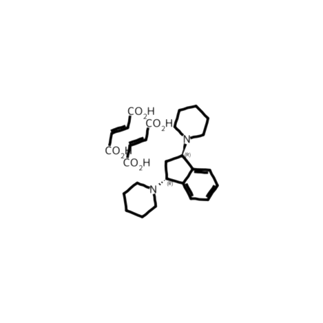 O=C(O)C=CC(=O)O.O=C(O)C=CC(=O)O.c1ccc2c(c1)[C@H](N1CCCCC1)C[C@H]2N1CCCCC1